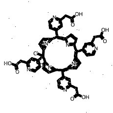 O=C(O)Cc1cc(C2=C3C=CC(=N3)C(c3ccnc(CC(=O)O)c3)=c3ccc([nH]3)=C(c3ccnc(CC(=O)O)c3)C3=NC(Cl)(C=C3)C(Cl)(c3ccnc(CC(=O)O)c3)c3ccc2[nH]3)ccn1